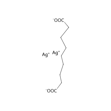 O=C([O-])CCCCCCCC(=O)[O-].[Ag+].[Ag+]